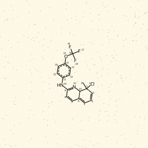 CC1(Cl)C=CC=C2C=CC(Nc3ccc(OC(F)(F)F)cc3)=NC21